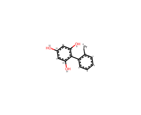 CC(C)c1ccccc1-c1c(O)cc(O)cc1O